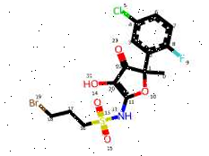 CC1(c2cc(Cl)ccc2F)OC(NS(=O)(=O)CCCBr)=C(O)C1=O